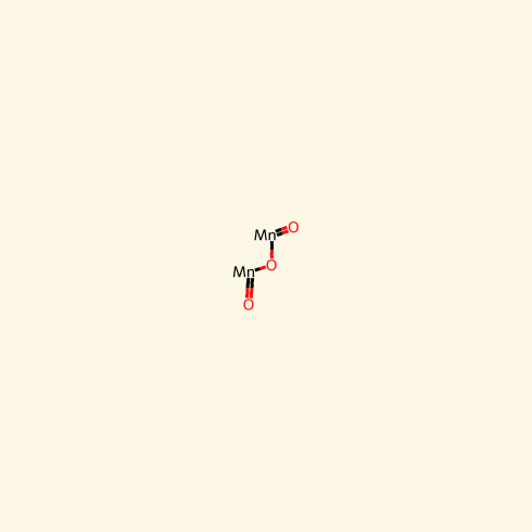 [O]=[Mn][O][Mn]=[O]